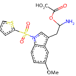 COc1ccc2c(c1)c(CC(N)OC(=O)C(=O)O)cn2S(=O)(=O)c1cccs1